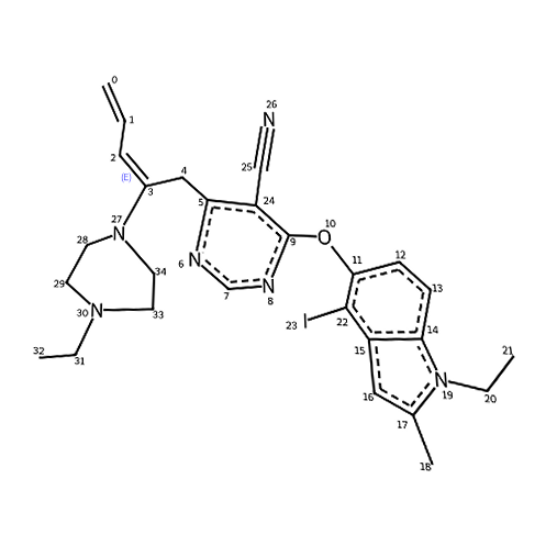 C=C/C=C(\Cc1ncnc(Oc2ccc3c(cc(C)n3CC)c2I)c1C#N)N1CCN(CC)CC1